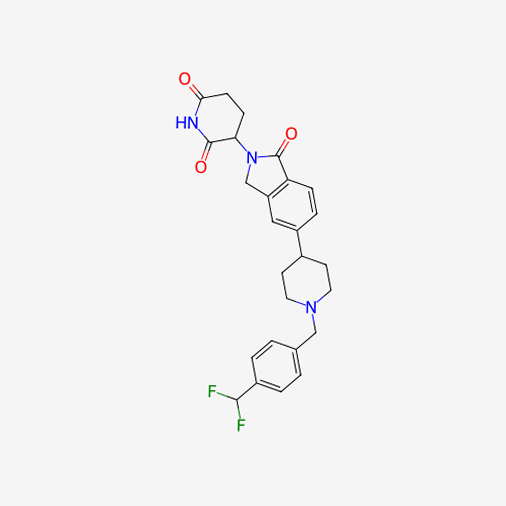 O=C1CCC(N2Cc3cc(C4CCN(Cc5ccc(C(F)F)cc5)CC4)ccc3C2=O)C(=O)N1